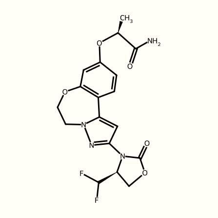 C[C@H](Oc1ccc2c(c1)OCCn1nc(N3C(=O)OC[C@H]3C(F)F)cc1-2)C(N)=O